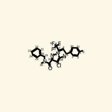 Cc1ccc(-c2cc(C(F)(F)F)n3nc(C(=O)N(C)Cc4ccccc4)c(Cl)c3n2)cc1